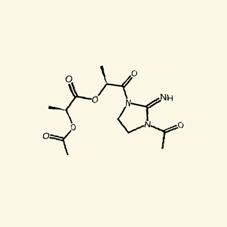 CC(=O)O[C@@H](C)C(=O)O[C@@H](C)C(=O)N1CCN(C(C)=O)C1=N